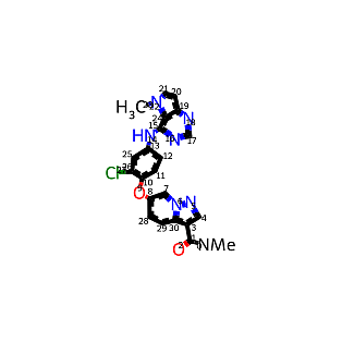 CNC(=O)c1cnn2cc(Oc3ccc(Nc4ncnc5ccn(C)c45)cc3Cl)ccc12